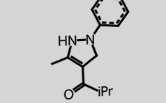 CC1=C(C(=O)C(C)C)CN(c2ccccc2)N1